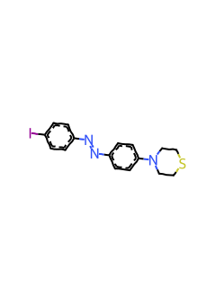 Ic1ccc(N=Nc2ccc(N3CCSCC3)cc2)cc1